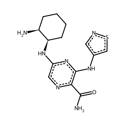 NC(=O)c1ncc(N[C@@H]2CCCC[C@@H]2N)nc1Nc1cnsc1